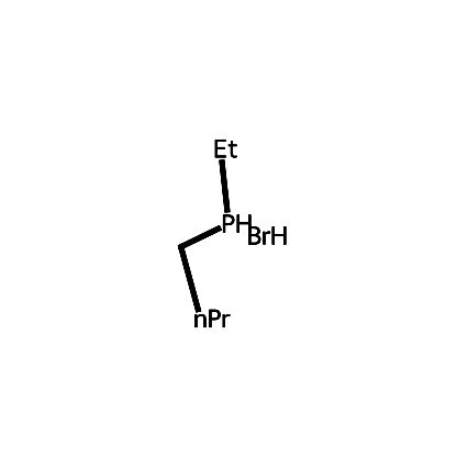 Br.CCCCPCC